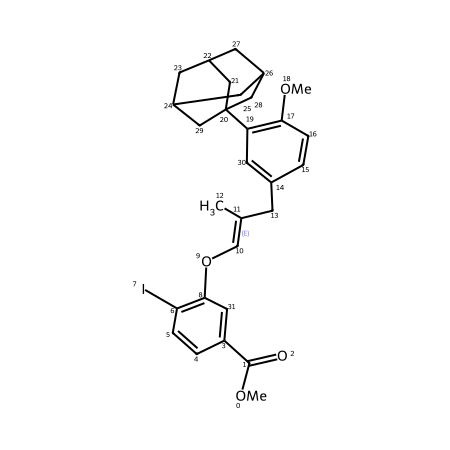 COC(=O)c1ccc(I)c(O/C=C(\C)Cc2ccc(OC)c(C34CC5CC(CC(C5)C3)C4)c2)c1